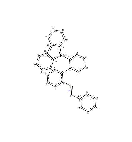 C(=C\c1ccccc1-c1ccccc1-n1c2ccccc2c2ccccc21)/c1ccccc1